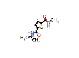 CNC(=O)c1ccc(C(=O)NC(C)C)s1